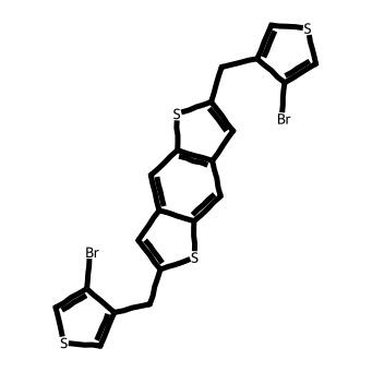 Brc1cscc1Cc1cc2cc3sc(Cc4cscc4Br)cc3cc2s1